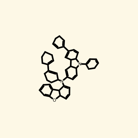 C1=CCCC(N2C3C=CC(C4=CCCC=C4)=CC3C3C=C(N(C4=CC=CC5Oc6ccccc6C45)C4C=C(C5=CCCCC5)CCC4)C=CC32)=C1